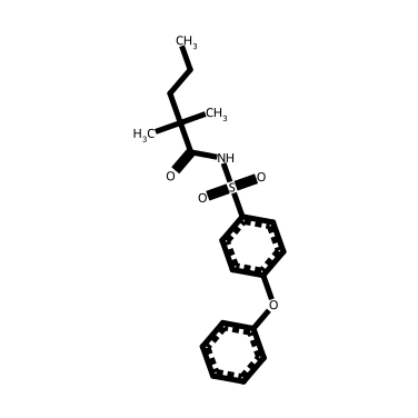 CCCC(C)(C)C(=O)NS(=O)(=O)c1ccc(Oc2ccccc2)cc1